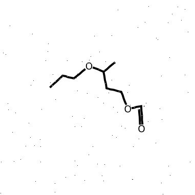 CCCOC(C)CCO[C]=O